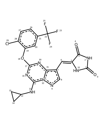 O=C1NC(=O)/C(=C/c2cnn3c(NC4CC4)nc(Oc4cc(C(F)(F)F)ccc4Cl)nc23)N1